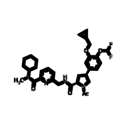 CC(=O)N1C[C@H](c2ccc(OC(F)F)c(OCC3CC3)c2)C[C@@H]1C(=O)NCc1cccc(C(=O)N(C)C2CCCCC2)n1